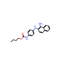 CCCCOC(=O)Nc1ccc(Nc2ccc3ccccc3c2N)cc1